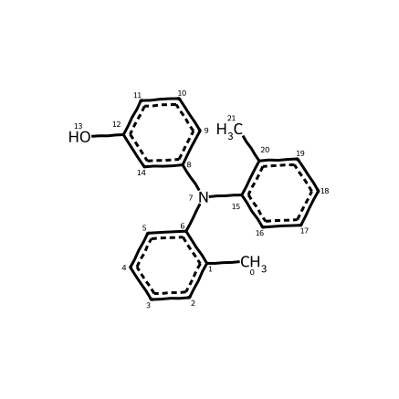 Cc1ccccc1N(c1cccc(O)c1)c1ccccc1C